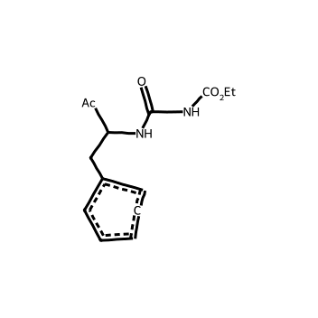 CCOC(=O)NC(=O)NC(Cc1ccccc1)C(C)=O